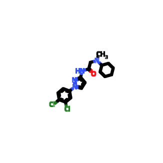 CN(CC(=O)Nc1ccn(-c2ccc(Cl)c(Cl)c2)n1)C1CCCCC1